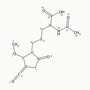 COC1C(=C=O)CC(=O)C1CSCC(NC(C)=O)C(=O)O